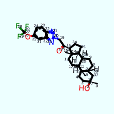 C[C@@]1(O)CC[C@@]2(C)[C@H](CC[C@@H]3[C@@H]2CC[C@]2(C)[C@@H](C(=O)Cn4nc5ccc(OC(F)(F)F)cc5n4)CC[C@@H]32)C1